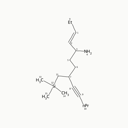 CC/C=C/C(N)CCC(C#CCCC)C[Si](C)(C)C